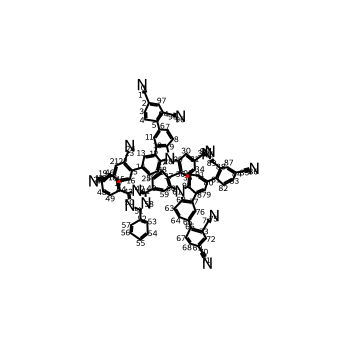 N#Cc1ccc(-c2ccc3c(c2)c2cc(-c4ccc(C#N)cc4C#N)ccc2n3-c2cc(C#N)ccc2-c2ccc(-c3nc(-c4ccccc4)nc(-c4ccccc4)n3)cc2-n2c3ccc(-c4ccc(C#N)cc4C#N)cc3c3cc(-c4ccc(C#N)cc4C#N)ccc32)c(C#N)c1